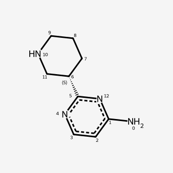 Nc1ccnc([C@H]2CCCNC2)n1